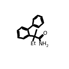 CCC(C)(C(N)=O)c1ccccc1-c1ccccc1